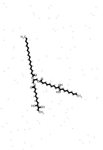 CCCCCCCCCCCCCCCCCC(=O)OC(COC(=O)CCCCCCCC(O)C(O)CC)COC(=O)CCCCCCCC(O)C(O)CCCCCCCC